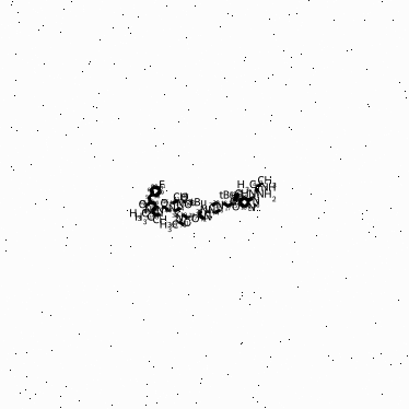 CC(=N)/C(C)=C(\N)Nc1ncnc2cc(OCCCN3CCN(c4ncc(OC[C@H]5CN(C[C@H]6CN(C(=O)OC(C)(C)C)[C@H](C)CN6CC(=O)N6CC(C)(C)c7c6cc(Cc6ccc(F)cc6)c(=O)n7C)[C@H](C)CO5)cn4)CC3)c(S(=O)(=O)C(C)(C)C)cc12